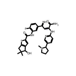 CN1CCCC1c1ccc(N/C(=C/C(=N)c2ccc(F)c(NC(=O)c3cc4c(s3)CC(C)(C)C4O)c2)C(N)=O)nc1